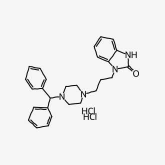 Cl.Cl.O=c1[nH]c2ccccc2n1CCCN1CCN(C(c2ccccc2)c2ccccc2)CC1